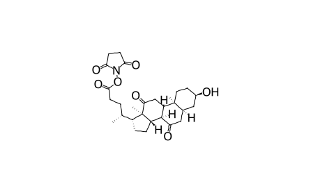 C[C@H](CCC(=O)ON1C(=O)CCC1=O)[C@H]1CC[C@H]2[C@@H]3C(=O)C[C@@H]4C[C@H](O)CC[C@]4(C)[C@H]3CC(=O)[C@]12C